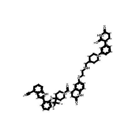 N#Cc1cccc2[nH]c(-c3ccccc3OC3(C(F)(F)F)CCN(C(=O)[C@H]4CC(=O)Nc5ccc(OCCNCC6CCN(c7cccc(C8CCC(=O)NC8=O)c7)CC6)cc54)CC3)cc12